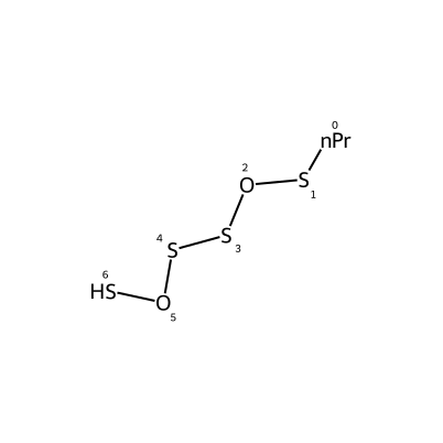 CCCSOSSOS